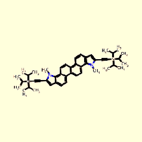 CC(C)[Si](C#Cc1cc2ccc3c4ccc5c(ccc6cc(C#C[Si](C(C)C)(C(C)C)C(C)C)n(C)c65)c4ccc3c2n1C)(C(C)C)C(C)C